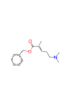 CC(=CCCN(C)C)C(=O)OCc1ccccc1